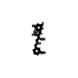 CC(C)c1cccc(CNC[C@@H](O)[C@H](Cc2cc(F)cc(F)c2)NC(=O)O)c1